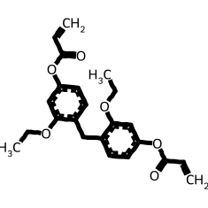 C=CC(=O)Oc1ccc(Cc2ccc(OC(=O)C=C)cc2OCC)c(OCC)c1